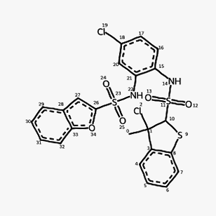 CC1(Cl)c2ccccc2SC1S(=O)(=O)Nc1ccc(Cl)cc1NS(=O)(=O)c1cc2ccccc2o1